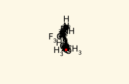 CP(C)(=O)c1ccc(NCC#Cc2cc3c(N[C@@H]4CCNC[C@@H]4F)cccc3n2CC(F)(F)F)c2c1C1(CC1)CO2